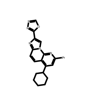 CC(C)c1cc(C2CCCCC2)c2ccc3nc(-c4nnco4)cn3c2n1